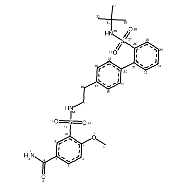 COc1ccc(C(N)=O)cc1S(=O)(=O)NCCc1ccc(-c2ccccc2S(=O)(=O)NC(C)(C)C)cc1